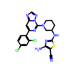 N#Cc1sc(NC2CCCN(c3nc(-c4ccc(Cl)cc4Cl)cc4ncnn34)C2)nc1N